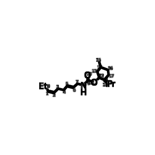 CC/C=C\CC/C=C/CNC(=O)OC1CC(C)CCC1C(C)C